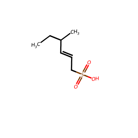 CCC(C)C=CCS(=O)(=O)O